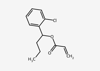 C=CC(=O)OC(CCC)c1ccccc1Cl